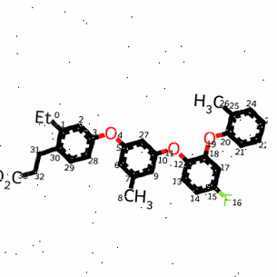 CCc1cc(Oc2cc(C)cc(Oc3ccc(F)cc3Oc3ccccc3C)c2)ccc1CCC(=O)O